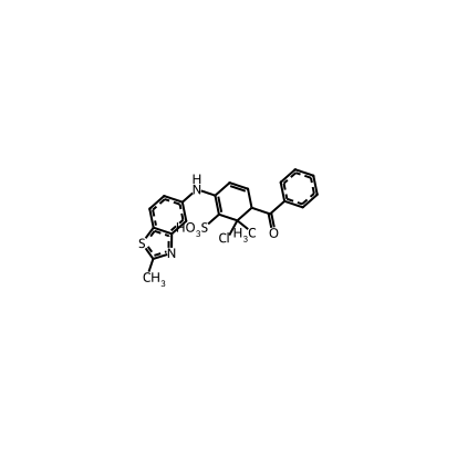 Cc1nc2cc(NC3=C(S(=O)(=O)O)C(C)(Cl)C(C(=O)c4ccccc4)C=C3)ccc2s1